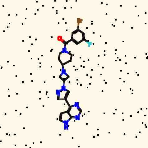 O=C(c1cc(F)cc(Br)c1)N1CCC(N2CC(n3cc(-c4ncnc5[nH]ccc45)cn3)C2)CC1